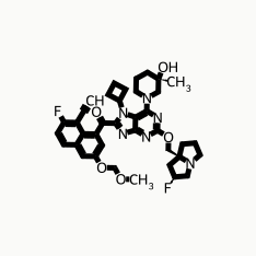 C#Cc1c(F)ccc2cc(OCOC)cc(C(=O)c3nc4nc(OC[C@@]56CCCN5C[C@H](F)C6)nc(N5CCC[C@@](C)(O)C5)c4n3C3CCC3)c12